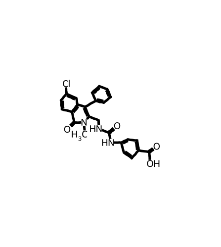 Cn1c(CNC(=O)Nc2ccc(C(=O)O)cc2)c(-c2ccccc2)c2cc(Cl)ccc2c1=O